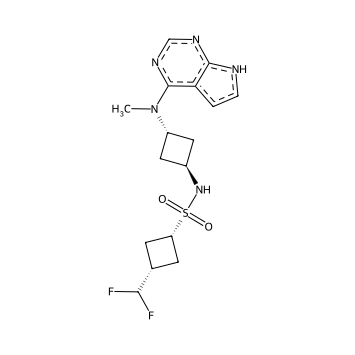 CN(c1ncnc2[nH]ccc12)[C@H]1C[C@H](NS(=O)(=O)[C@H]2C[C@@H](C(F)F)C2)C1